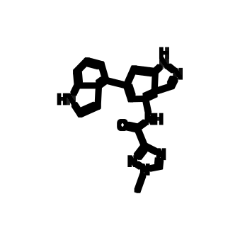 Cn1cnc(C(=O)Nc2cc(-c3cccc4[nH]ccc34)cc3[nH]ncc23)n1